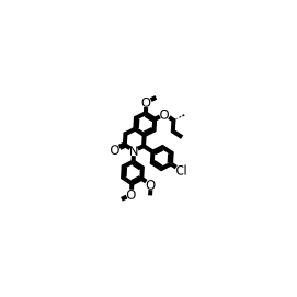 CC[C@@H](C)Oc1cc2c(cc1OC)CC(=O)N(c1ccc(OC)c(OC)c1)C2c1ccc(Cl)cc1